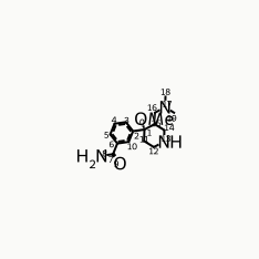 CO[C@]1(c2cccc(C(N)=O)c2)CCNC[C@@H]1CN(C)C